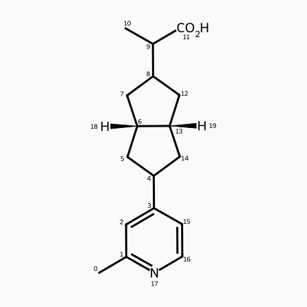 Cc1cc(C2C[C@@H]3CC(C(C)C(=O)O)C[C@@H]3C2)ccn1